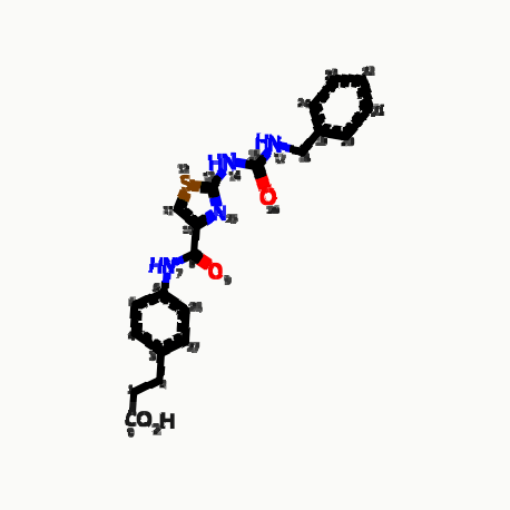 O=C(O)CCc1ccc(NC(=O)c2csc(NC(=O)NCc3ccccc3)n2)cc1